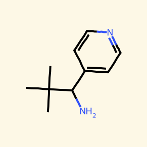 CC(C)(C)C(N)c1ccncc1